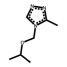 Cc1nncn1COC(C)C